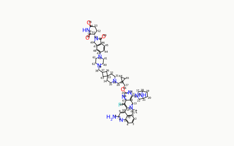 CCc1cccc2nc(N)cc(-c3ncc4c(N5CC6CCC(C5)N6)nc(OCC5(CN6CCC7(CC6)CC(CN6CCN(c8ccc9c(c8)CN([C@H]8CCC(=O)NC8=O)C9=O)CC6)C7)CC5)nc4c3F)c12